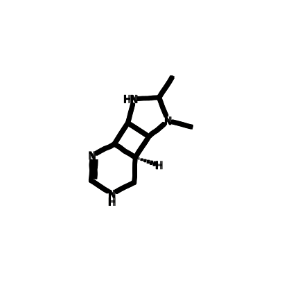 CC1NC2C3N=CNC[C@@H]3C2N1C